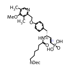 CCCCCCCCCCCCCCCC(=O)N[C@@H](/C=C/P(=O)(O)O)Cc1ccc(OCc2ncc(C)c(OC)c2C)cc1